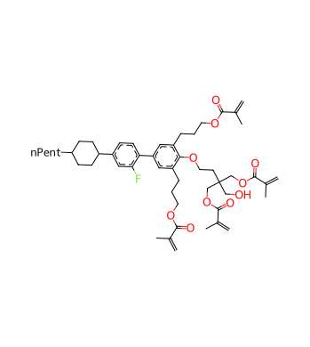 C=C(C)C(=O)OCCCc1cc(-c2ccc(C3CCC(CCCCC)CC3)cc2F)cc(CCCOC(=O)C(=C)C)c1OCCC(CO)(COC(=O)C(=C)C)COC(=O)C(=C)C